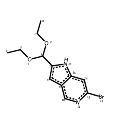 CCOC(OCC)c1cc2cnc(Br)cc2[nH]1